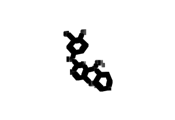 CN(c1ccncc1)c1nc(Nc2ccc(Cl)c(Cl)c2)ncc1C(F)(F)F